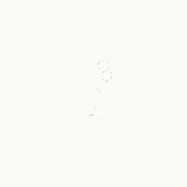 CC(C)(C)OC(=O)N1CCC(NC(Cc2cccc3ccccc23)C(=O)O)CC1